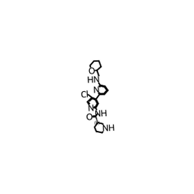 O=C(Nc1cc(-c2cccc(NCC3CCCCO3)n2)c(Cl)cn1)[C@@H]1CCCNC1